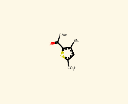 COC(=O)c1sc(C(=O)O)cc1C(C)(C)C